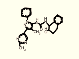 Cc1ncc(-c2nn(-c3ccccc3)c(NC(=O)NC3c4ccccc4CCC3O)c2C)cn1